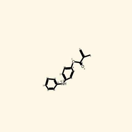 C=C(C)C(=O)Oc1ccc(Nc2ccccc2)cc1